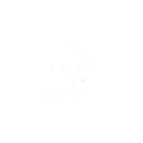 CCCc1ccc(-c2cccc3c2C=C(C2CCCC2)[CH]3[Hf]2([CH]3C(C4CCCC4)=Cc4c(-c5ccc(CCC)cc5)cccc43)[CH]3CCCC[CH]32)cc1.Cl.Cl